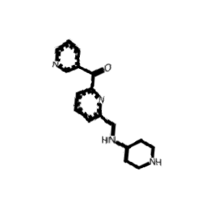 O=C(c1cccnc1)c1cccc(CNC2CCNCC2)n1